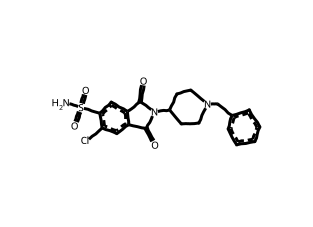 NS(=O)(=O)c1cc2c(cc1Cl)C(=O)N(C1CCN(Cc3ccccc3)CC1)C2=O